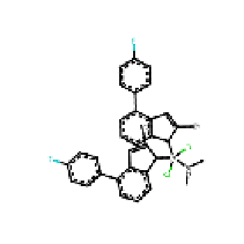 CCC1=Cc2c(-c3ccc(F)cc3)cccc2[CH]1[Zr]([Cl])([Cl])([CH]1C(CC)=Cc2c(-c3ccc(F)cc3)cccc21)[SiH](C)C